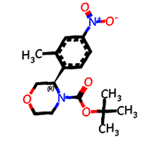 Cc1cc([N+](=O)[O-])ccc1[C@@H]1COCCN1C(=O)OC(C)(C)C